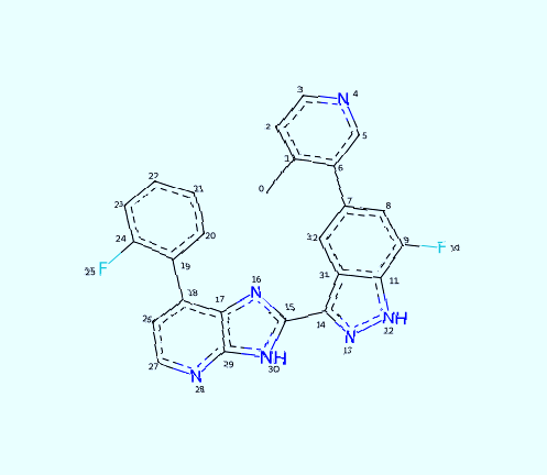 Cc1ccncc1-c1cc(F)c2[nH]nc(-c3nc4c(-c5ccccc5F)ccnc4[nH]3)c2c1